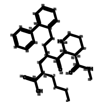 CCCC[C@@H](C[C@@H](CCc1ccccc1-c1ccccc1)C(=O)N1NCCC[C@H]1C(=O)NC)C(=O)O